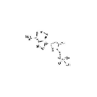 Nc1ncnc2c1ncn2[C@H]1C[C@H](O)[C@@H](COP(=O)(O)O)S1